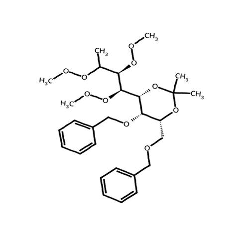 COOC(C)[C@@H](OOC)[C@H](OOC)[C@@H]1OC(C)(C)O[C@H](COCc2ccccc2)[C@@H]1OCc1ccccc1